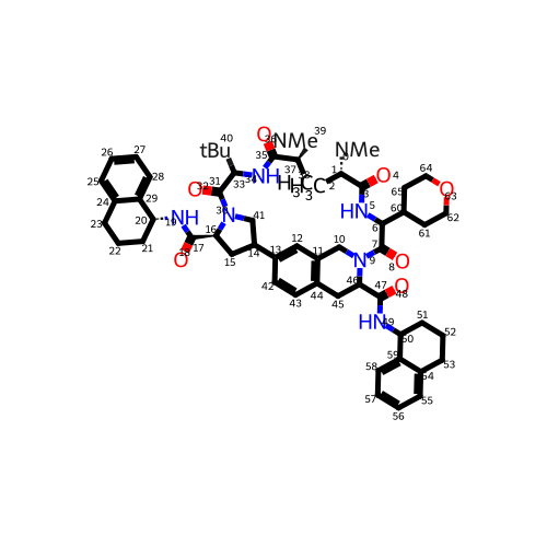 CN[C@@H](C)C(=O)NC(C(=O)N1Cc2cc(C3C[C@@H](C(=O)N[C@@H]4CCCc5ccccc54)N(C(=O)C(NC(=O)[C@H](C)NC)C(C)(C)C)C3)ccc2CC1C(=O)NC1CCCc2ccccc21)C1CCOCC1